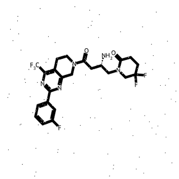 N[C@@H](CC(=O)N1CCc2c(nc(-c3cccc(F)c3)nc2C(F)(F)F)C1)CN1CC(F)(F)CCC1=O